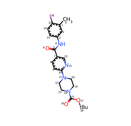 Cc1cc(NC(=O)c2ccc(N3CCN(C(=O)OC(C)(C)C)CC3)nc2)ccc1I